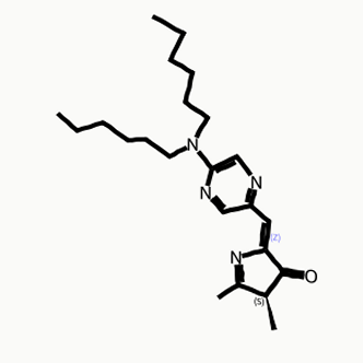 CCCCCCN(CCCCCC)c1cnc(/C=C2\N=C(C)[C@H](C)C2=O)cn1